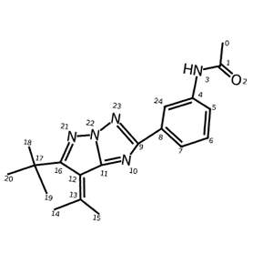 CC(=O)Nc1cccc(-c2nc3c(=C(C)C)c(C(C)(C)C)nn3n2)c1